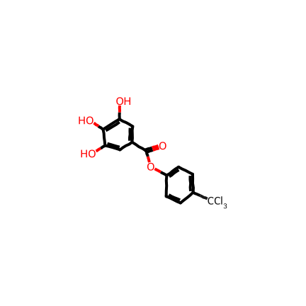 O=C(Oc1ccc(C(Cl)(Cl)Cl)cc1)c1cc(O)c(O)c(O)c1